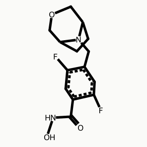 O=C(NO)c1cc(F)c(CN2C3CCC2COC3)cc1F